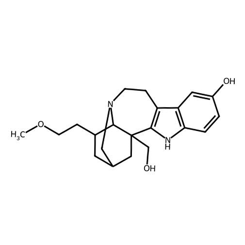 COCCC1CC2CN3CCc4c([nH]c5ccc(O)cc45)C(CO)(C2)C13